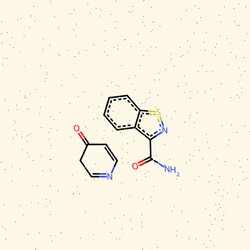 NC(=O)c1nsc2ccccc12.O=C1C=CN=CC1